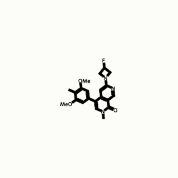 COc1cc(-c2cn(C)c(=O)c3cnc(N4CC(F)C4)cc23)cc(OC)c1C